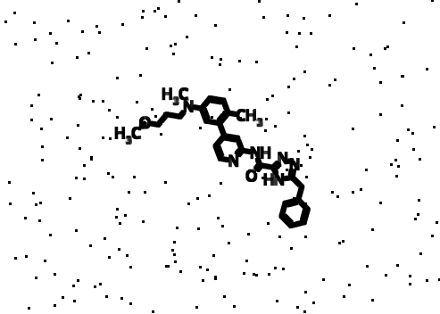 COCCCN(C)c1ccc(C)c(-c2ccnc(NC(=O)c3nnc(Cc4ccccc4)[nH]3)c2)c1